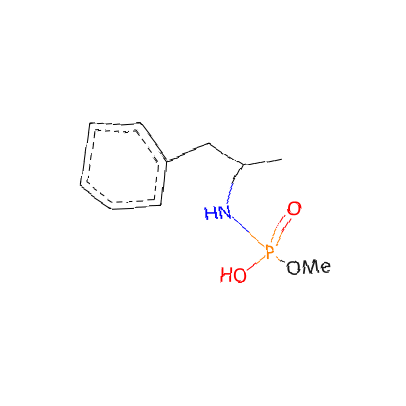 COP(=O)(O)NC(C)Cc1ccccc1